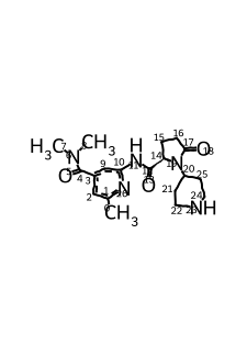 Cc1cc(C(=O)N(C)C)cc(NC(=O)[C@H]2CCC(=O)N2C2CCNCC2)n1